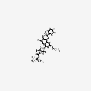 CCSc1nc(N2C[C@@H]3C[C@H]2CN3C(=O)OC(C)(C)C)c2cc(I)c(Br)c(O[C@@H](C)c3ccccc3)c2n1